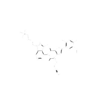 COc1cc(-c2cc3c(s2)c(=O)n(-c2cncc4c2c(C)nn4COCC[Si](C)(C)C)c(=O)n3CCC#N)c(Cl)cc1F